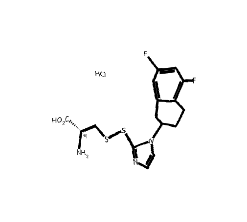 Cl.N[C@@H](CSSc1nccn1C1CCc2c(F)cc(F)cc2C1)C(=O)O